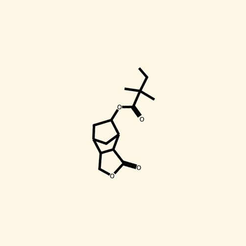 CCC(C)(C)C(=O)OC1CC2CC1C1C(=O)OCC21